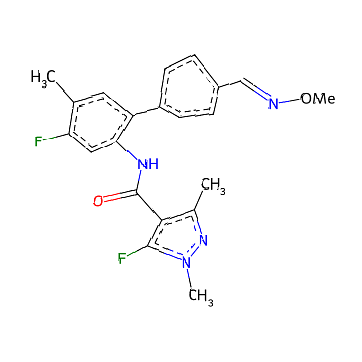 CO/N=C/c1ccc(-c2cc(C)c(F)cc2NC(=O)c2c(C)nn(C)c2F)cc1